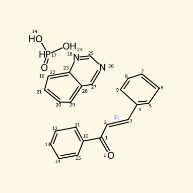 O=C(/C=C/c1ccccc1)c1ccccc1.O=[PH](O)O.c1ccc2ncncc2c1